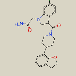 NC(=O)CN1CC(C(=O)N2CCC(c3cccc4c3OCC4)CC2)c2ccc(Cl)cc21